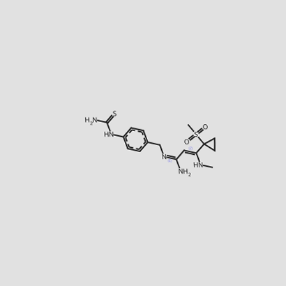 CN/C(=C\C(N)=N/Cc1ccc(NC(N)=S)cc1)C1(S(C)(=O)=O)CC1